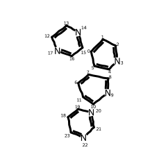 c1ccncc1.c1ccncc1.c1cnccn1.c1cncnc1